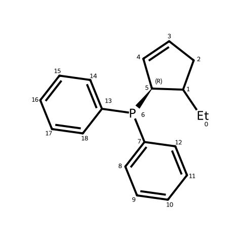 CCC1CC=C[C@@H]1P(c1ccccc1)c1ccccc1